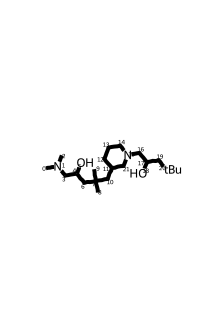 CN(C)CC(O)CC(C)(C)CC1CCCN(CC(O)CC(C)(C)C)C1